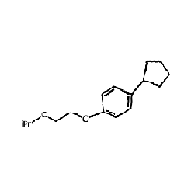 CC(C)OCCOc1ccc(C2CCCC2)cc1